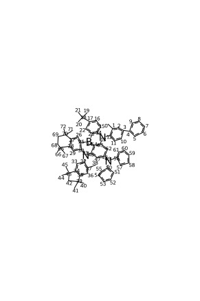 Cc1cc(-c2ccccc2)ccc1N1c2ccc(C(C)(C)C)cc2B2c3cc4c(cc3N(c3cc5c(cc3C)C(C)(C)CC5(C)C)c3cc(N(c5ccccc5)c5ccccc5)cc1c32)C(C)(C)CCC4(C)C